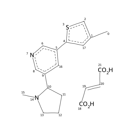 Cc1csc(-c2cncc(C3CCCN3C)c2)c1.O=C(O)C=CC(=O)O